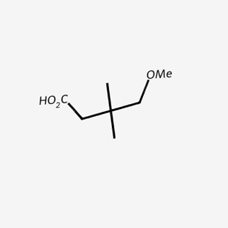 COCC(C)(C)CC(=O)O